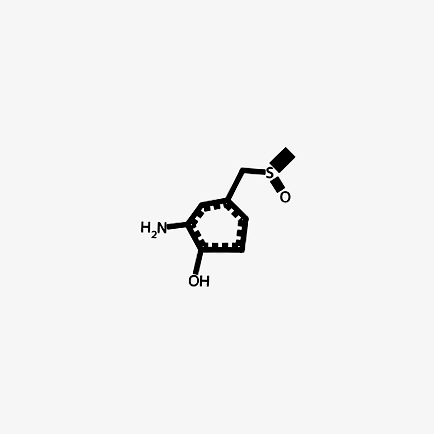 C#S(=O)Cc1ccc(O)c(N)c1